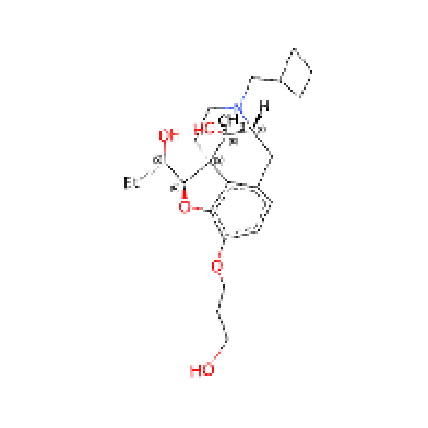 CC[C@H](O)[C@@H]1Oc2c(OCCCO)ccc3c2[C@@]12CCN(CC1CCC1)[C@H](C3)[C@@]2(C)O